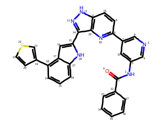 O=C(Nc1cncc(-c2ccc3[nH]nc(-c4cc5c(-c6ccsc6)cccc5[nH]4)c3n2)c1)c1ccccc1